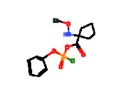 CCONC1(C(=O)OP(=O)(Cl)Oc2ccccc2)CCCC1